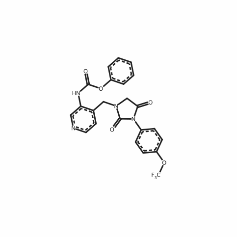 O=C(Nc1cnccc1CN1CC(=O)N(c2ccc(OC(F)(F)F)cc2)C1=O)Oc1ccccc1